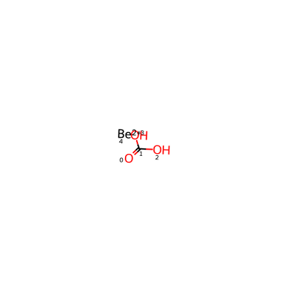 O=C(O)O.[Be+2]